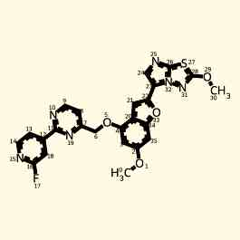 COc1cc(OCc2ccnc(-c3ccnc(F)c3)n2)c2cc(-c3cnc4sc(OC)nn34)oc2c1